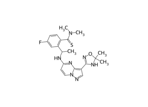 CC(Nc1ccn2ncc(C3=NOC(C)(C)N3)c2n1)c1cc(F)ccc1C(=S)N(C)C